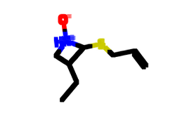 C=CCSC1C(CC)C[NH+]1[O-]